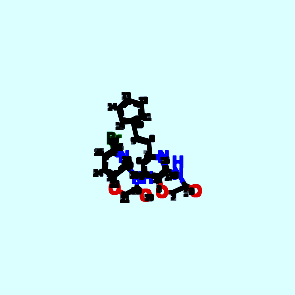 O=C1COc2ccc(/C=C/c3ccccc3)nc2N1.O=C1COc2ccc(Br)nc2N1